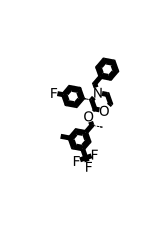 Cc1cc([C@@H](C)O[C@@H]2OCCN(Cc3ccccc3)[C@H]2c2ccc(F)cc2)cc(C(F)(F)F)c1